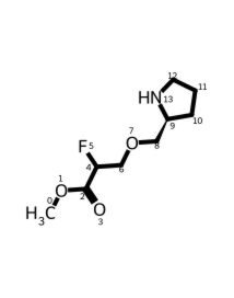 COC(=O)C(F)COC[C@@H]1CCCN1